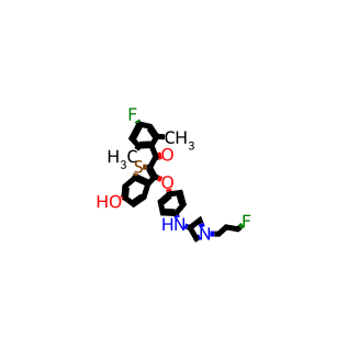 Cc1cc(F)cc(C)c1C(=O)c1sc2cc(O)ccc2c1Oc1ccc(NC2CN(CCCF)C2)cc1